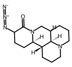 [N-]=[N+]=NC1CC[C@@H]2[C@H]3CCCN4CCC[C@H](CN2C1=O)[C@H]34